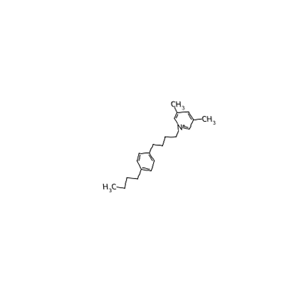 CCCCc1ccc(CCCC[n+]2cc(C)cc(C)c2)cc1